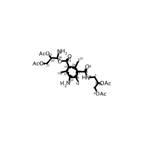 CC(=O)OCC(CNC(=O)c1c(I)c(N)c(I)c(C(=O)OC(N)C(COC(C)=O)OC(C)=O)c1I)OC(C)=O